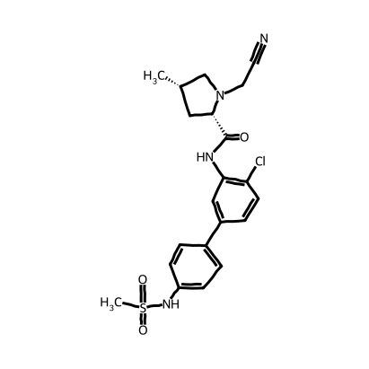 C[C@H]1C[C@@H](C(=O)Nc2cc(-c3ccc(NS(C)(=O)=O)cc3)ccc2Cl)N(CC#N)C1